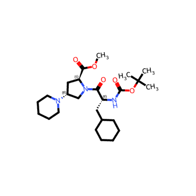 COC(=O)[C@@H]1C[C@@H](N2CCCCC2)CN1C(=O)[C@@H](CC1CCCCC1)NC(=O)OC(C)(C)C